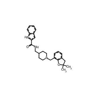 CC1(C)Cc2cccc(CN3CCC(CNC(=O)c4cc5ccccc5[nH]4)CC3)c2O1